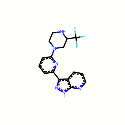 FC(F)(F)C1CN(c2cccc(-c3n[nH]c4ncccc34)n2)CCN1